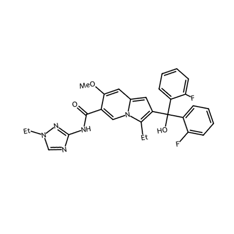 CCc1c(C(O)(c2ccccc2F)c2ccccc2F)cc2cc(OC)c(C(=O)Nc3ncn(CC)n3)cn12